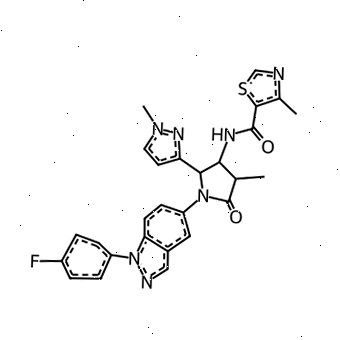 Cc1ncsc1C(=O)NC1C(C)C(=O)N(c2ccc3c(cnn3-c3ccc(F)cc3)c2)C1c1ccn(C)n1